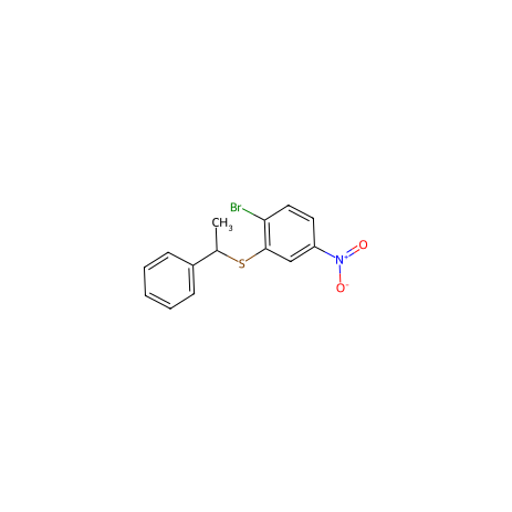 CC(Sc1cc([N+](=O)[O-])ccc1Br)c1ccccc1